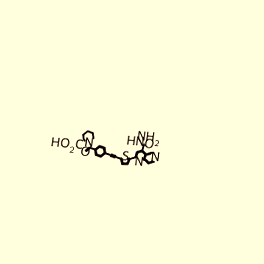 NNC(=O)c1cc(-c2ccc(C#Cc3ccc(C(=O)N4CCCCC4C(=O)O)cc3)s2)nc2ccncc12